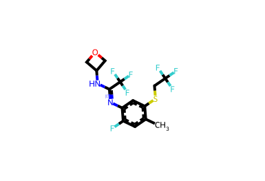 Cc1cc(F)c(/N=C(/NC2COC2)C(F)(F)F)cc1SCC(F)(F)F